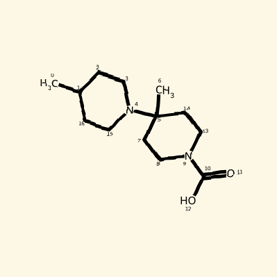 CC1CCN(C2(C)CCN(C(=O)O)CC2)CC1